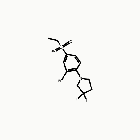 CC[S@@](=N)(=O)c1ccc(N2CCC(F)(F)C2)c(Br)c1